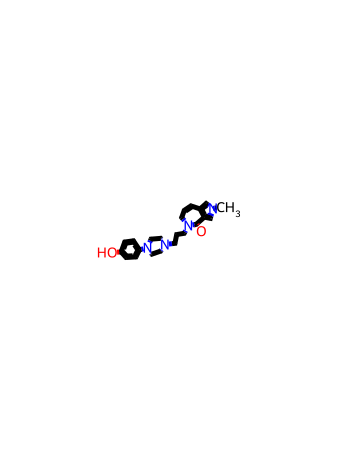 Cn1cc2c(c1)C(=O)N(CCCN1CCN(c3ccc(O)cc3)CC1)CC=C2